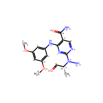 COc1cc(Nc2nc(N(N)[C@H](C)C=O)ncc2C(N)=O)cc(OC)c1